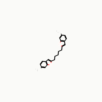 N#Cc1ccc2cc(CCCCCc3cc4ccc(C#N)cc4o3)oc2c1